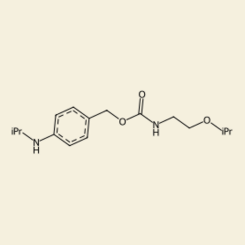 CC(C)Nc1ccc(COC(=O)NCCOC(C)C)cc1